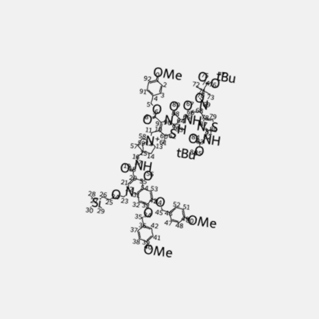 COc1ccc(COC(=O)C2=C(C[N+]34CCC(CNC(=O)c5cn(COCC[Si](C)(C)C)c6cc(OCc7ccc(OC)cc7)c(OCc7ccc(OC)cc7)cc6c5=O)(CC3)C4)[C@H](C)S[C@@H]3[C@H](NC(=O)/C(=N\OC(C)(C)C(=O)OC(C)(C)C)c4csc(NC(=O)OC(C)(C)C)n4)C(=O)N23)cc1